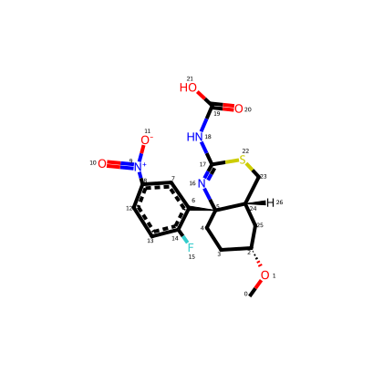 CO[C@@H]1CC[C@]2(c3cc([N+](=O)[O-])ccc3F)N=C(NC(=O)O)SC[C@@H]2C1